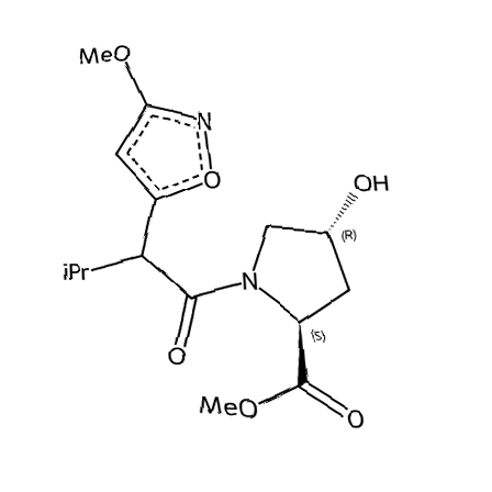 COC(=O)[C@@H]1C[C@@H](O)CN1C(=O)C(c1cc(OC)no1)C(C)C